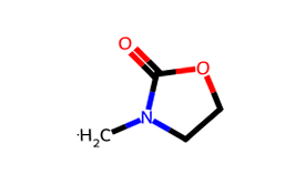 [CH2]N1CCOC1=O